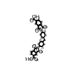 O=C(O)c1ccc2c(c1)C(=O)N(C1CCC(CC3CCC(N4C(=O)c5ccc(C(=O)O)cc5C4=O)CC3)CC1)C2=O